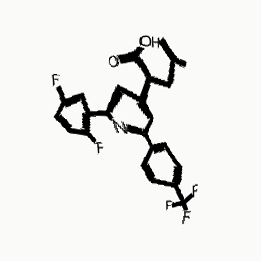 C=C(C)CC(C(=O)O)c1cc(-c2ccc(C(F)(F)F)cc2)nc(-c2cc(F)ccc2F)c1